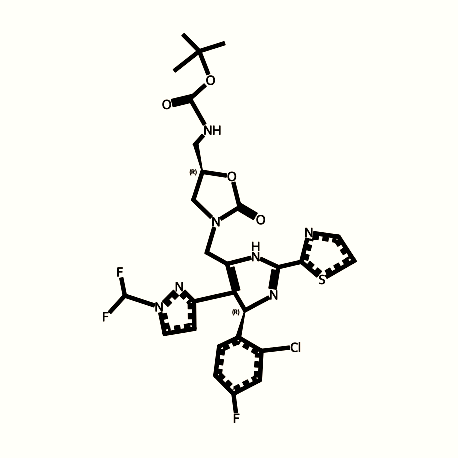 CC(C)(C)OC(=O)NC[C@@H]1CN(CC2=C(c3ccn(C(F)F)n3)[C@H](c3ccc(F)cc3Cl)N=C(c3nccs3)N2)C(=O)O1